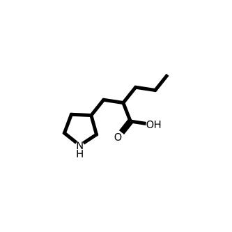 CCCC(CC1CCNC1)C(=O)O